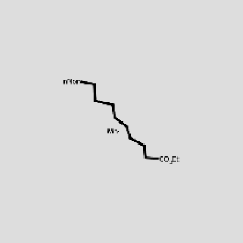 CCCCCCCCCCCCCCCCCC(=O)OCC.[Mn]